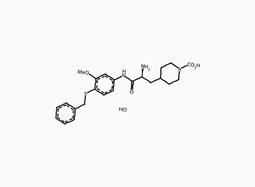 COc1cc(NC(=O)[C@@H](N)CC2CCN(C(=O)O)CC2)ccc1SCc1ccccc1.Cl